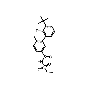 CCS(=O)(=O)N[S+]([O-])c1ccc(C)c(-c2cccc(C(C)(C)C)c2F)c1